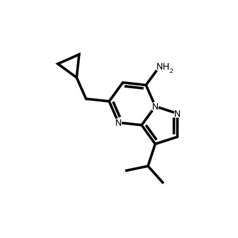 CC(C)c1cnn2c(N)cc(CC3CC3)nc12